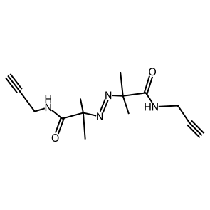 C#CCNC(=O)C(C)(C)N=NC(C)(C)C(=O)NCC#C